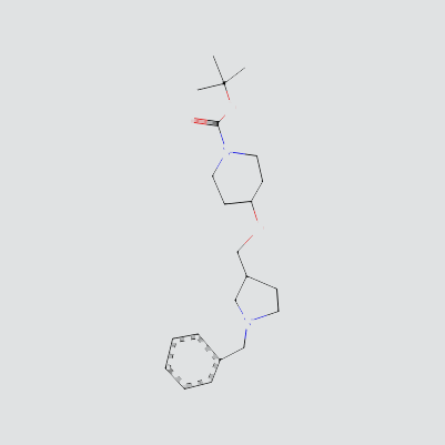 CC(C)(C)OC(=O)N1CCC(OCC2CCN(Cc3ccccc3)C2)CC1